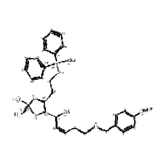 COc1ccc(COCC/C=C\C(O)[C@H]2OC(C)(C)O[C@H]2CCO[Si](c2ccccc2)(c2ccccc2)C(C)(C)C)cc1